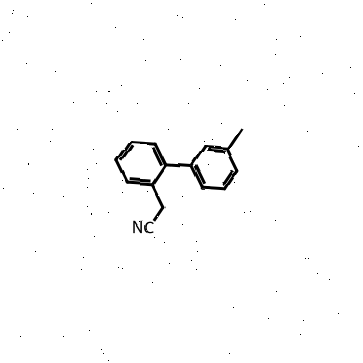 Cc1cccc(-c2ccccc2CC#N)c1